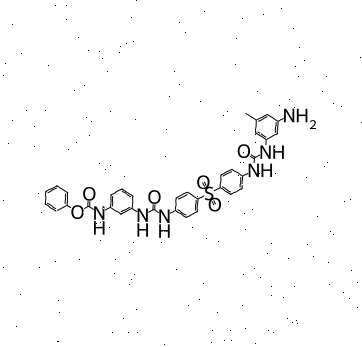 Cc1cc(N)cc(NC(=O)Nc2ccc(S(=O)(=O)c3ccc(NC(=O)Nc4cccc(NC(=O)Oc5ccccc5)c4)cc3)cc2)c1